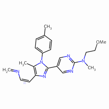 C=N/C=C\c1nc(-c2cnc(N(C)CCOC)nc2)n(-c2ccc(C)cc2)c1C